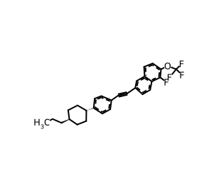 CCC[C@H]1CC[C@H](c2ccc(C#Cc3ccc4c(F)c(OC(F)(F)F)ccc4c3)cc2)CC1